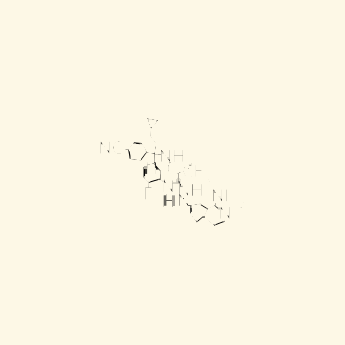 CC([C@@H](NNc1ccc2ccnc(N)c2c1)Nc1cc(C(N)(CCC2CC2)c2ccc(C#N)cc2)ccc1F)C(F)(F)F